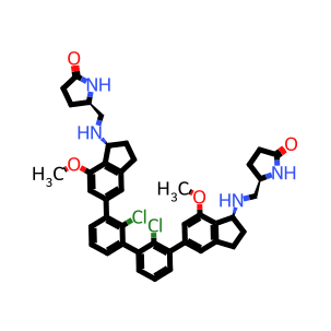 COc1cc(-c2cccc(-c3cccc(-c4cc5c(c(OC)c4)[C@@H](NC[C@H]4CCC(=O)N4)CC5)c3Cl)c2Cl)cc2c1[C@@H](NC[C@H]1CCC(=O)N1)CC2